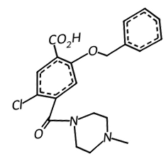 CN1CCN(C(=O)c2cc(OCc3ccccc3)c(C(=O)O)cc2Cl)CC1